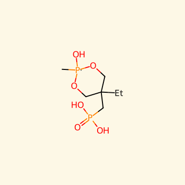 CCC1(CP(=O)(O)O)CO[P](C)(O)OC1